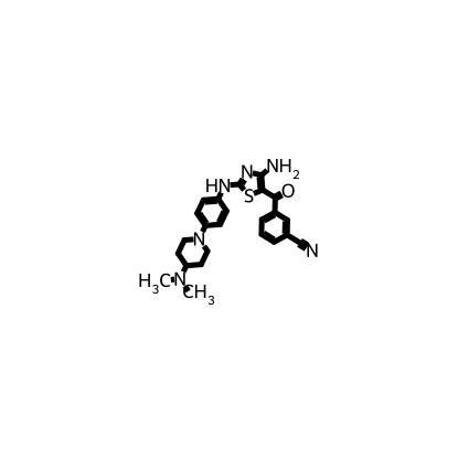 CN(C)C1CCN(c2ccc(Nc3nc(N)c(C(=O)c4cccc(C#N)c4)s3)cc2)CC1